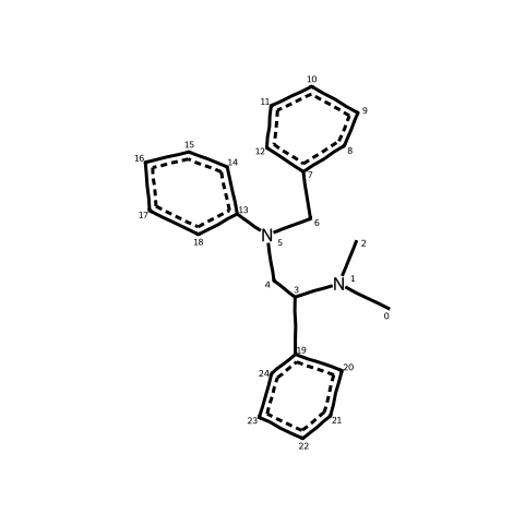 CN(C)C(CN(Cc1ccccc1)c1ccccc1)c1ccccc1